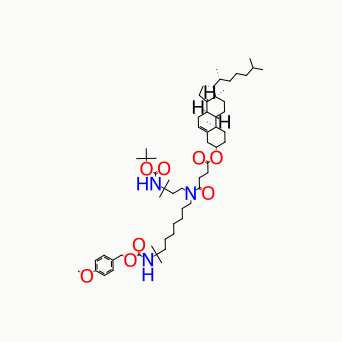 COc1ccc(COC(=O)NC(C)(C)CCCCCCCN(CCC(C)(C)NC(=O)OC(C)(C)C)C(=O)CCC(=O)O[C@H]2CC[C@@]3(C)C(=CC[C@H]4[C@@H]5CC[C@H]([C@H](C)CCCC(C)C)[C@@]5(C)CC[C@@H]43)C2)cc1